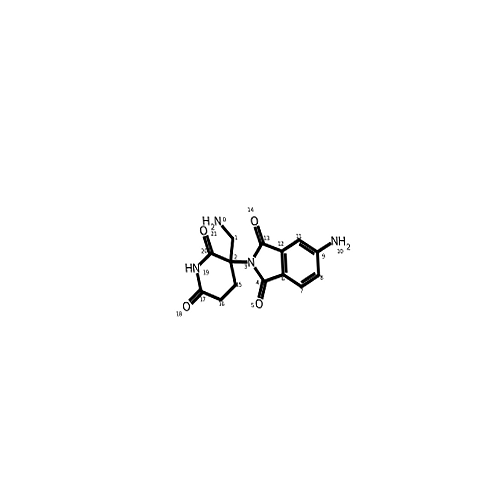 NCC1(N2C(=O)c3ccc(N)cc3C2=O)CCC(=O)NC1=O